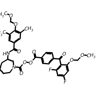 COCOc1cc(F)cc(F)c1C(=O)c1ccc(C(=O)OOC(=O)N2CCCCC(NC(=O)c3cc(C)c(OCOC)c(C)c3)C2)cc1